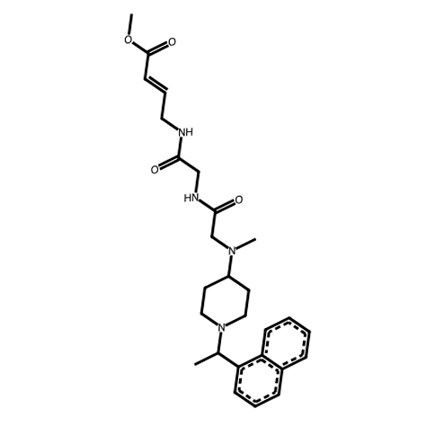 COC(=O)/C=C/CNC(=O)CNC(=O)CN(C)C1CCN(C(C)c2cccc3ccccc23)CC1